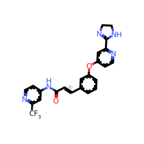 O=C(/C=C/c1cccc(Oc2ccnc(C3=NCCN3)c2)c1)Nc1ccnc(C(F)(F)F)c1